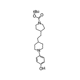 CC(C)(C)OC(=O)N1CCC(CCC2CCN(c3ccc(O)cc3)CC2)CC1